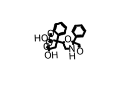 O=CC1(c2ccccc2)NCC(C(CC(=O)O)(c2ccccc2)S(=O)(=O)O)O1